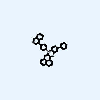 C1=Cc2cccc3cc4c(c(c23)C1)Sc1cc(-c2ccccc2)ccc1N4c1ccc(-c2cccc3ccccc23)cc1